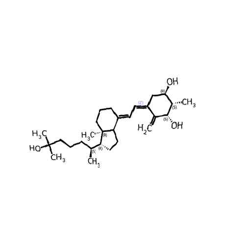 C=C1/C(=C\C=C2CCC[C@@]3(C)C2CC[C@@H]3[C@@H](C)CCCC(C)(C)O)C[C@@H](O)[C@H](C)[C@@H]1O